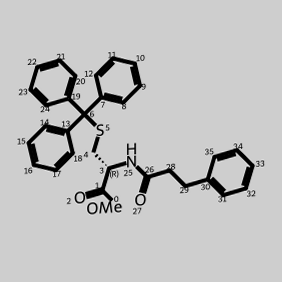 COC(=O)[C@H](CSC(c1ccccc1)(c1ccccc1)c1ccccc1)NC(=O)CCc1ccccc1